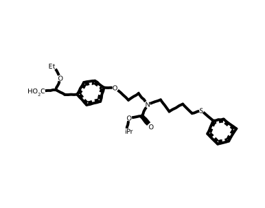 CCOC(Cc1ccc(OCCN(CCCCSc2ccccc2)C(=O)OC(C)C)cc1)C(=O)O